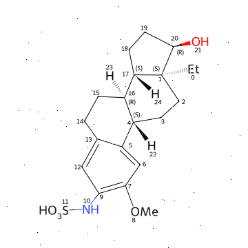 CC[C@]12CC[C@@H]3c4cc(OC)c(NS(=O)(=O)O)cc4CC[C@H]3[C@@H]1CC[C@H]2O